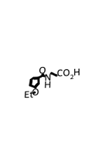 CCOc1cccc(C(=O)NCCC(=O)O)c1